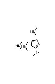 CNC.CNC.CNC.[CH3][Zr][C]1=CC=CC1